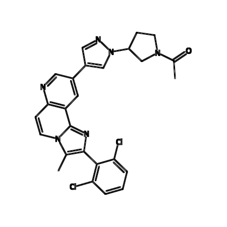 CC(=O)N1CCC(n2cc(-c3cnc4ccn5c(C)c(-c6c(Cl)cccc6Cl)nc5c4c3)cn2)C1